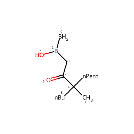 BB(O)CC(=O)C(C)(CCCC)CCCCC